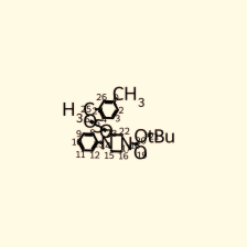 Cc1ccc(S(=O)(=O)c2ccccc2N2CCN(C(=O)OC(C)(C)C)CC2)c(C)c1